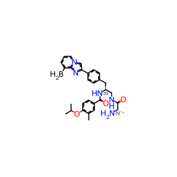 Bc1cccn2cc(-c3ccc(C[C@@H](CNC(=O)[C@H](C)N)NC(=O)c4ccc(OC(C)C)c(C)c4)cc3)nc12